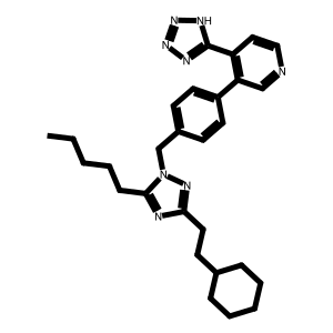 CCCCCc1nc(CCC2CCCCC2)nn1Cc1ccc(-c2cnccc2-c2nnn[nH]2)cc1